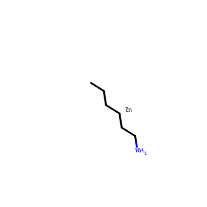 CCCCCCN.[Zn]